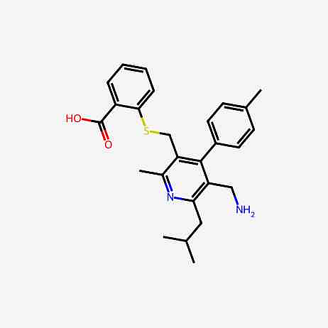 Cc1ccc(-c2c(CSc3ccccc3C(=O)O)c(C)nc(CC(C)C)c2CN)cc1